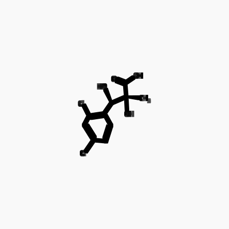 C[C@](O)(C(=O)O)[C@H](O)c1ccc(Cl)cc1Cl